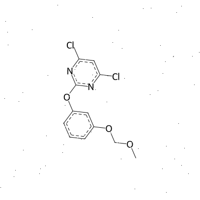 COCOc1cccc(Oc2nc(Cl)cc(Cl)n2)c1